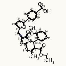 CCOC(=O)C1=C(C)N=c2s/c(=C/c3ccc(-c4ccc(C(=O)O)cc4)o3)c(=O)n2C1c1ccccc1OC